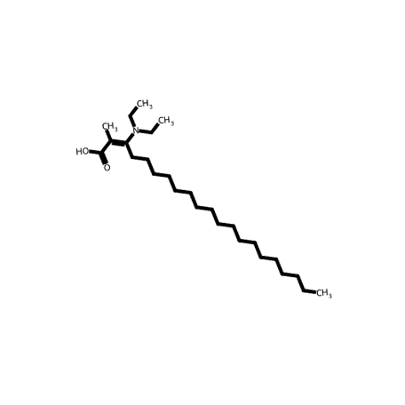 CCCCCCCCCCCCCCCCCC/C(=C(/C)C(=O)O)N(CC)CC